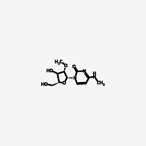 CNc1ccn([C@@H]2O[C@H](CO)C(O)[C@@H]2OC)c(=O)n1